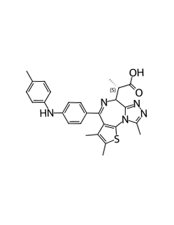 Cc1ccc(Nc2ccc(C3=NC([C@H](C)C(=O)O)c4nnc(C)n4-c4sc(C)c(C)c43)cc2)cc1